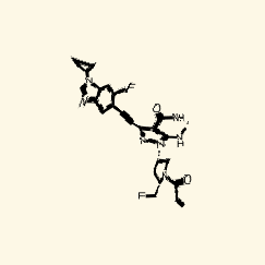 C=CC(=O)N1C[C@@H](n2nc(C#Cc3cc4ncn(C5CC5)c4cc3F)c(C(N)=O)c2NC)C[C@@H]1CF